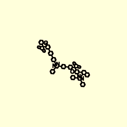 c1ccc(-c2cc(-c3ccc(-c4ccc5c(c4)Oc4ccc(-c6ccc7ccccc7c6-c6nc(-c7ccccc7)cc(-c7ccccc7)n6)cc4C54c5ccccc5-c5ccccc54)cc3)nc(-c3ccc(-c4ccc(-c5ccc6c(c5)C5(c7ccccc7O6)c6ccccc6-c6ccccc65)cc4)cc3)n2)cc1